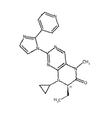 CC[C@@H]1C(=O)N(C)c2cnc(-n3ccnc3-c3ccncc3)nc2N1C1CC1